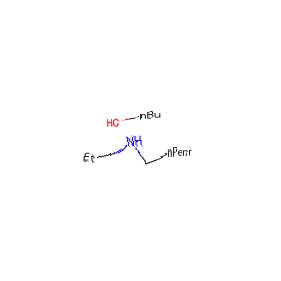 CCCCCCNCC.CCCCO